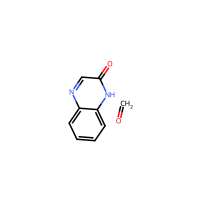 C=O.O=c1cnc2ccccc2[nH]1